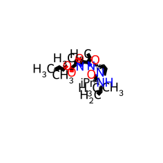 C=CC(C)(C)N[C@H](C(=O)N1CCC[C@H]1c1nc(-c2nc(C(=O)OCC=C(C)C)c(C)o2)c(C)o1)C(C)C